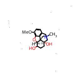 COc1ccc2c3c1O[C@H]1C(O)CC[C@@]4(O)C(C2)N(C)CC[C@]314